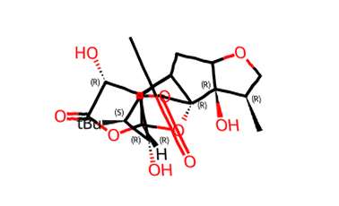 C[C@@H]1COC2CC34C5OC(=O)[C@]3(O[C@@H]3OC(=O)[C@H](O)C34[C@H](C(C)(C)C)[C@H]5O)[C@]21O